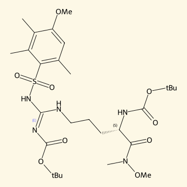 COc1cc(C)c(S(=O)(=O)N/C(=N/C(=O)OC(C)(C)C)NCCC[C@H](NC(=O)OC(C)(C)C)C(=O)N(C)OC)c(C)c1C